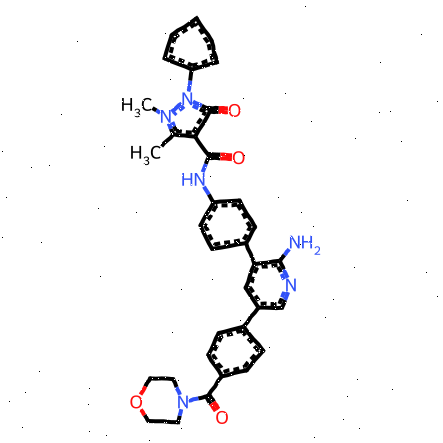 Cc1c(C(=O)Nc2ccc(-c3cc(-c4ccc(C(=O)N5CCOCC5)cc4)cnc3N)cc2)c(=O)n(-c2ccccc2)n1C